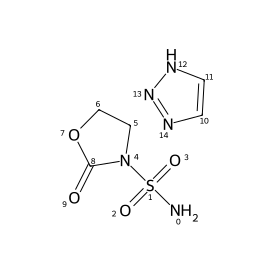 NS(=O)(=O)N1CCOC1=O.c1c[nH]nn1